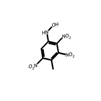 Cc1c([N+](=O)[O-])cc(NO)c([N+](=O)[O-])c1[N+](=O)[O-]